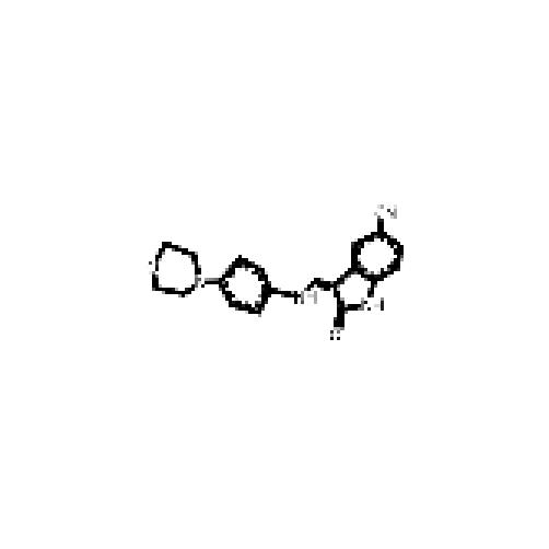 N#Cc1ccc2c(c1)C(=CNc1ccc(N3CCOCC3)cc1)C(=O)N2